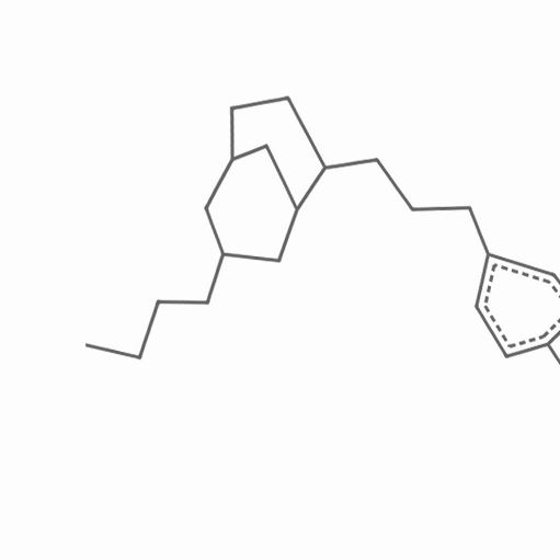 CCCCC1CC2CCC(CCCc3ccc(F)cc3)C(C1)C2